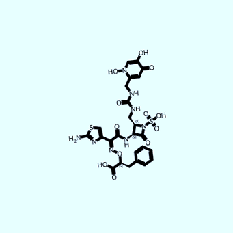 Nc1nc(C(=NO[C@@H](Cc2ccccc2)C(=O)O)C(=O)N[C@@H]2C(=O)N(S(=O)(=O)O)[C@@H]2CNC(=O)NCc2cc(=O)c(O)cn2O)cs1